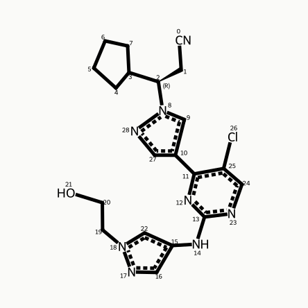 N#CC[C@H](C1CCCC1)n1cc(-c2nc(Nc3cnn(CCO)c3)ncc2Cl)cn1